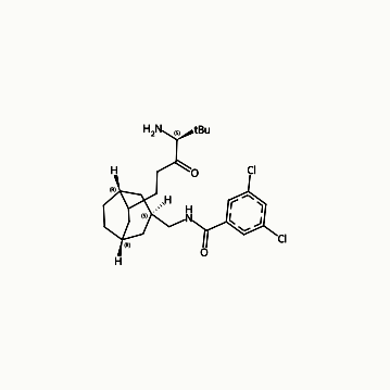 CC(C)(C)[C@H](N)C(=O)CCC1C[C@H]2CC[C@@H]1C[C@@H](CNC(=O)c1cc(Cl)cc(Cl)c1)C2